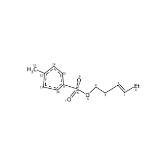 CC/C=C/CCOS(=O)(=O)c1ccc(C)cc1